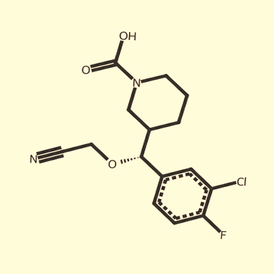 N#CCO[C@@H](c1ccc(F)c(Cl)c1)C1CCCN(C(=O)O)C1